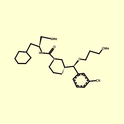 CNC[C@H](CC1CCCCC1)NC(=O)N1CCC[C@@H]([C@@H](OCCCOC)c2cccc(C#N)c2)C1